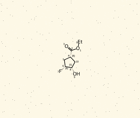 CCOC(=O)[C@H]1C[C@@H](F)[C@@H](O)C1